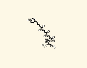 CCC(C)S(=O)(=O)N[C@@H](CNC(=O)CCNC(=O)CCCCC1CCNCC1)C(=O)O